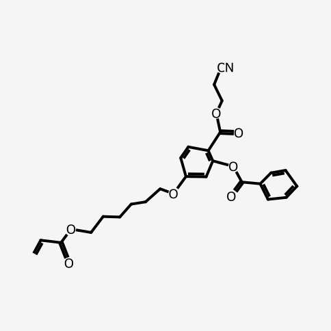 C=CC(=O)OCCCCCCOc1ccc(C(=O)OCCC#N)c(OC(=O)c2ccccc2)c1